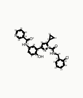 O=C(Nc1ccc(O)c(-c2cc(C3CC3)n(C(=O)NCc3ccccc3Cl)n2)c1)c1cccnc1